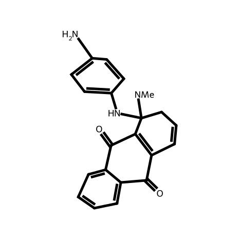 CNC1(Nc2ccc(N)cc2)CC=CC2=C1C(=O)c1ccccc1C2=O